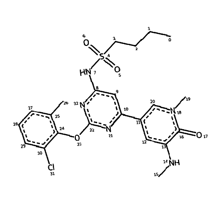 CCCCS(=O)(=O)Nc1cc(-c2cc(NC)c(=O)n(C)c2)nc(Oc2c(C)cccc2Cl)n1